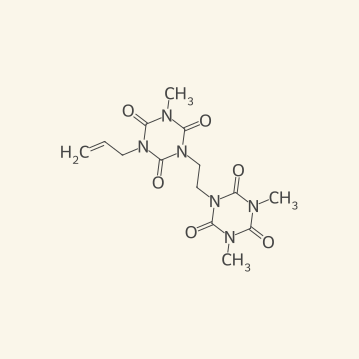 C=CCn1c(=O)n(C)c(=O)n(CCn2c(=O)n(C)c(=O)n(C)c2=O)c1=O